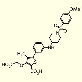 COc1ccc(S(=O)(=O)N2CCC(Nc3cccc(-c4sc(C(=O)O)c(OCC(=O)O)c4C)c3)CC2)cc1